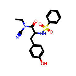 CCN(C#N)C(=O)C(Cc1ccc(O)cc1)NS(=O)(=O)c1ccccc1